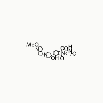 COc1ccc2c(n1)CCC2N1CCC(O)(c2ccc3c(c2)C(=O)N(C2CCC(=O)NC2=O)C3=O)CC1